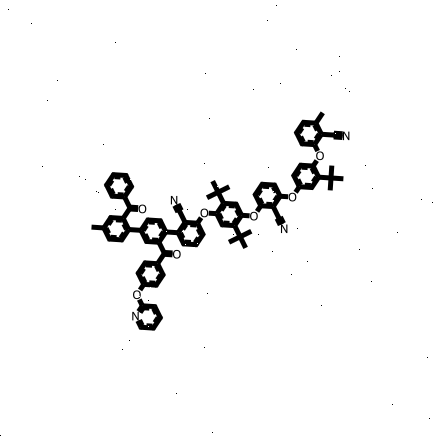 Cc1ccc(-c2ccc(-c3cccc(Oc4cc(C(C)(C)C)c(Oc5cccc(Oc6ccc(Oc7cccc(C)c7C#N)c(C(C)(C)C)c6)c5C#N)cc4C(C)(C)C)c3C#N)c(C(=O)c3ccc(Oc4ccccn4)cc3)c2)c(C(=O)c2ccccc2)c1